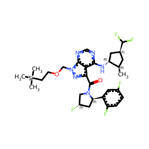 C[C@@H]1C[C@H](C(F)F)C[C@H]1Nc1ncnc2c1c(C(=O)N1C[C@@H](F)C[C@@H]1c1cc(F)ccc1F)nn2COCC[Si](C)(C)C